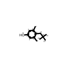 Cc1cc(O)cc(C)c1CC(C)(C)C